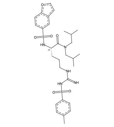 Cc1ccc(S(=O)(=O)NC(=N)NCCC[C@H](NS(=O)(=O)c2ccc3occc3c2)C(=O)N(CC(C)C)CC(C)C)cc1